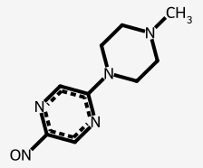 CN1CCN(c2cnc(N=O)cn2)CC1